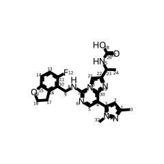 Cc1cc(-c2cnc(NCc3c(F)ccc4c3CCO4)n3cc(C(C)NC(=O)O)nc23)n(C)n1